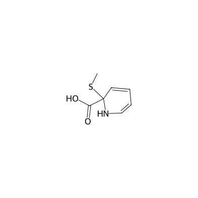 CSC1(C(=O)O)C=CC=CN1